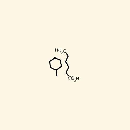 CC1CCCCC1.O=C(O)CCCCC(=O)O